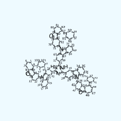 c1ccc(-c2cccc3oc4ccc(-n5c6ccccc6c6cc(C7=NC(c8ccc9c(c8)c8ccccc8n9-c8ccc9oc%10cccc(-c%11ccccc%11)c%10c9c8)NC(c8ccc9c(c8)c8ccccc8n9-c8ccc9oc%10cccc(-c%11ccccc%11)c%10c9c8)N7)ccc65)cc4c23)cc1